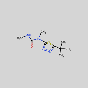 CNC(=O)N(C)c1nnc(C(C)(C)C)s1